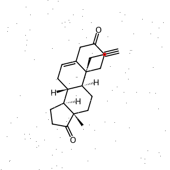 C#CC[C@]12CCC(=O)CC1=CC[C@@H]1[C@@H]2CC[C@]2(C)C(=O)CC[C@@H]12